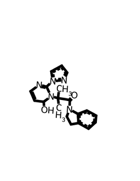 CC(C)(C(=O)N1CCc2ccccc21)N1C(n2cccn2)=NC=CC1O